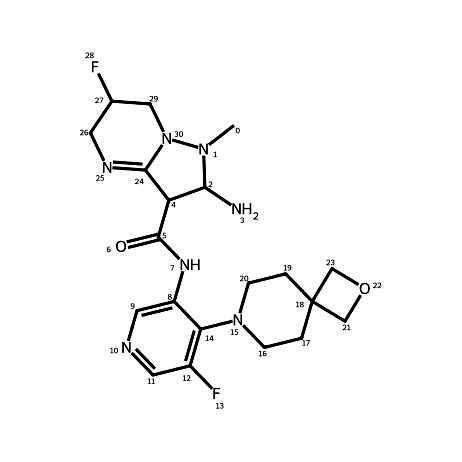 CN1C(N)C(C(=O)Nc2cncc(F)c2N2CCC3(CC2)COC3)C2=NCC(F)CN21